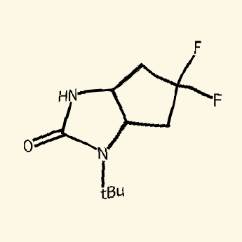 CC(C)(C)N1C(=O)NC2CC(F)(F)CC21